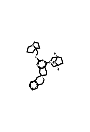 c1ccc2c(c1)CC[C@]1(CCc3c(nc(OCC45CCCN4CCC5)nc3N3C[C@H]4CC[C@@H](C3)N4)C1)C2